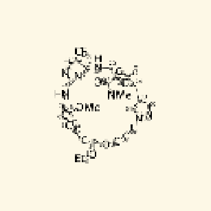 CCOP1Cc2ccc(c(OC)c2)Nc2ncc(C(F)(F)F)c(n2)Nc2cc(F)c(cc2C(=O)NC)-c2cnn(c2)CCCO1